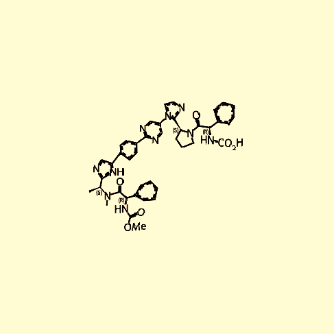 COC(=O)N[C@@H](C(=O)N(C)[C@@H](C)c1ncc(-c2ccc(-c3ncc(-n4ccnc4[C@@H]4CCCN4C(=O)[C@H](NC(=O)O)c4ccccc4)cn3)cc2)[nH]1)c1ccccc1